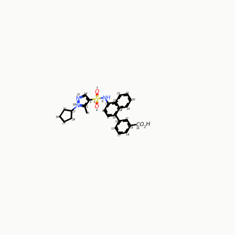 Cc1c(S(=O)(=O)Nc2ccc(-c3cccc(C(=O)O)c3)c3ccccc23)cnn1C1CCCC1